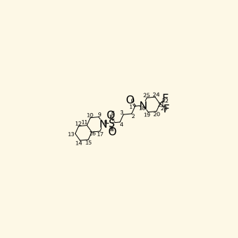 O=C(CCCS(=O)(=O)N1CCC2CCCCC2C1)N1CCC(F)(F)CC1